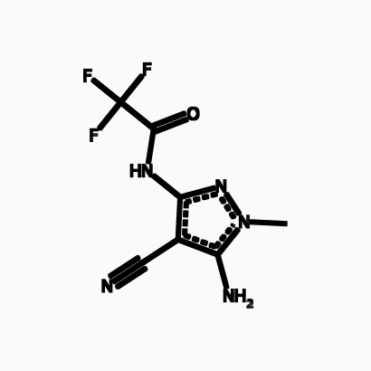 Cn1nc(NC(=O)C(F)(F)F)c(C#N)c1N